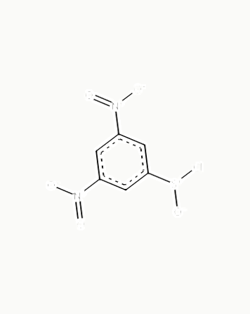 O=[N+]([O-])c1cc([N+](=O)[O-])cc([S+]([O-])Cl)c1